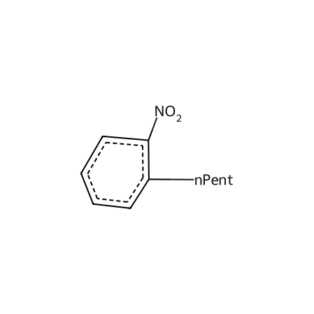 CCC[CH]Cc1ccccc1[N+](=O)[O-]